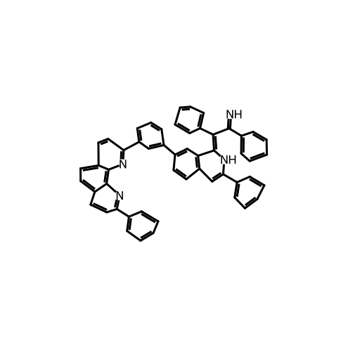 N=C(/C(=C1\NC(c2ccccc2)=Cc2ccc(-c3cccc(-c4ccc5ccc6ccc(-c7ccccc7)nc6c5n4)c3)cc21)c1ccccc1)c1ccccc1